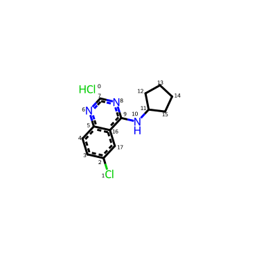 Cl.Clc1ccc2ncnc(NC3CCCC3)c2c1